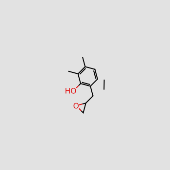 CC.Cc1ccc(CC2CO2)c(O)c1C